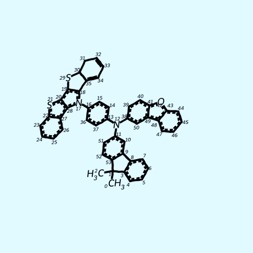 CC1(C)c2ccccc2-c2cc(N(c3ccc(-n4c5c(c6sc7ccccc7c64)SC4CC=CC=C54)cc3)c3ccc4oc5ccccc5c4c3)ccc21